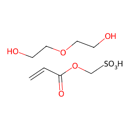 C=CC(=O)OCS(=O)(=O)O.OCCOCCO